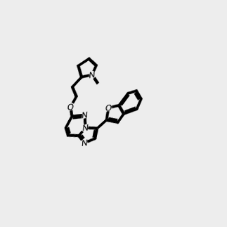 CN1CCCC1CCOc1ccc2ncc(-c3cc4ccccc4o3)n2n1